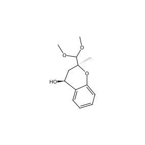 COC(OC)[C@]1(C)C[C@H](O)c2ccccc2O1